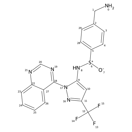 NCc1ccc([S+]([O-])Nc2cc(C(F)(F)F)nn2-c2ncnc3ccccc23)cc1